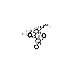 Cl.NCCCC[C@H](NC(=O)C1OC1C(=O)N[C@@H](Cc1ccccc1)C(=O)NC1CCCCC1)C(=O)O.Nc1ccccc1